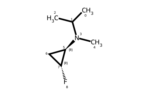 CC(C)N(C)[C@@H]1C[C@H]1F